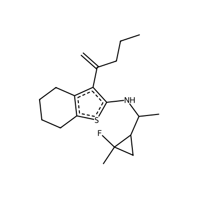 C=C(CCC)c1c(NC(C)C2CC2(C)F)sc2c1CCCC2